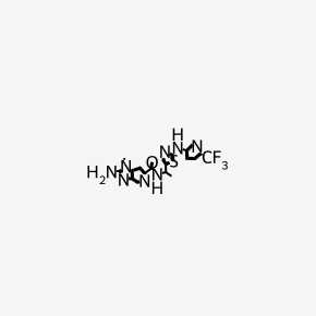 CC(NC(=O)c1cc2c(cn1)nc(N)n2C)c1cnc(Nc2ccc(C(F)(F)F)nc2)s1